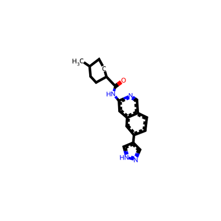 CC1CCC(C(=O)Nc2cc3cc(-c4cn[nH]c4)ccc3cn2)CC1